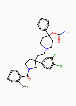 COc1ccccc1C(=O)N1CCC(CCN2CCC(OC(N)=O)(c3ccccc3)CC2)(c2ccc(Cl)c(Cl)c2)C1